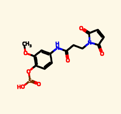 COc1cc(NC(=O)CCN2C(=O)C=CC2=O)ccc1OS(=O)O